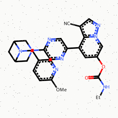 CCNC(=O)Oc1cc(-c2cnc(N3CC4CC(C3)N4Cc3ccc(OC)nc3)cn2)c2c(C#N)cnn2c1